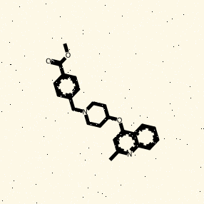 COC(=O)c1ccc(CN2CCC(Oc3cc(C)nc4ccccc34)CC2)cc1